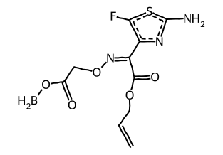 BOC(=O)CO/N=C(\C(=O)OCC=C)c1nc(N)sc1F